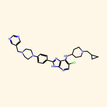 Clc1cnc2[nH]c(-c3ccc(N4CCN(Cc5cncnc5)CC4)cc3)nc2c1NC1CCN(CC2CC2)CC1